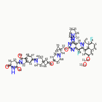 CCc1c(F)ccc2cc(OCOC)cc(-c3ncc4c(N5CC6CCC(C5)N6)nc(OCC5(CN6CCC(OC7CC8(CCN(c9ccc%10c(c9)CN(C9CCC(=O)NC9=O)C%10=O)CC8)C7)CC6)CC5)nc4c3F)c12